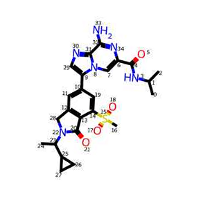 CC(C)NC(=O)c1cn2c(-c3cc4c(c(S(C)(=O)=O)c3)C(=O)N(C(C)C3CC3)C4)cnc2c(N)n1